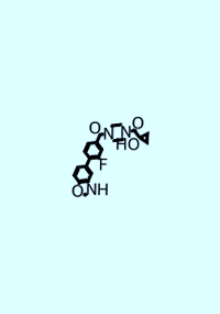 O=C(c1ccc(-c2ccc3c(c2)NCO3)c(F)c1)N1CCN(C(=O)C2(O)CC2)CC1